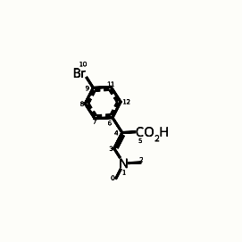 CN(C)/C=C(\C(=O)O)c1ccc(Br)cc1